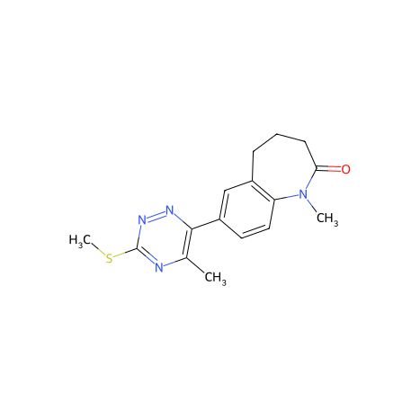 CSc1nnc(-c2ccc3c(c2)CCCC(=O)N3C)c(C)n1